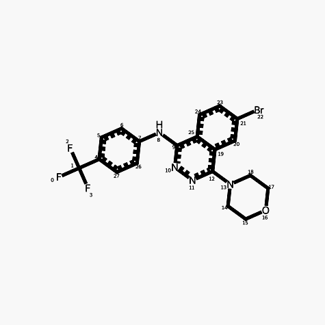 FC(F)(F)c1ccc(Nc2nnc(N3CCOCC3)c3cc(Br)ccc23)cc1